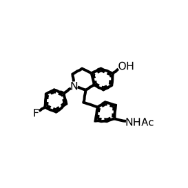 CC(=O)Nc1ccc(CC2c3ccc(O)cc3CCN2c2ccc(F)cc2)cc1